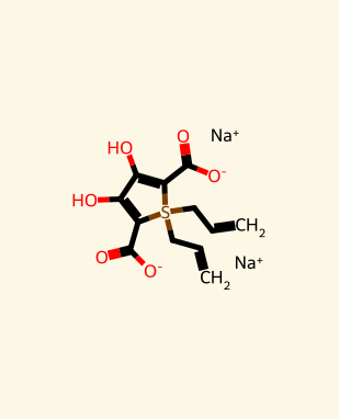 C=CCS1(CC=C)C(C(=O)[O-])=C(O)C(O)=C1C(=O)[O-].[Na+].[Na+]